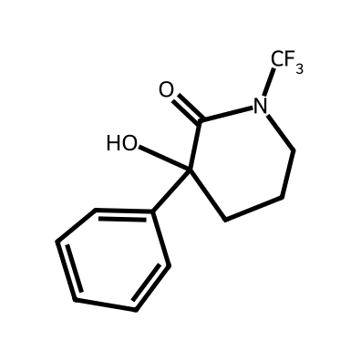 O=C1N(C(F)(F)F)CCCC1(O)c1ccccc1